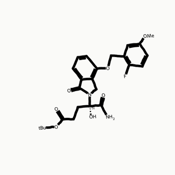 COc1ccc(F)c(COc2cccc3c2CN([C@](O)(CCC(=O)OC(C)(C)C)C(N)=O)C3=O)c1